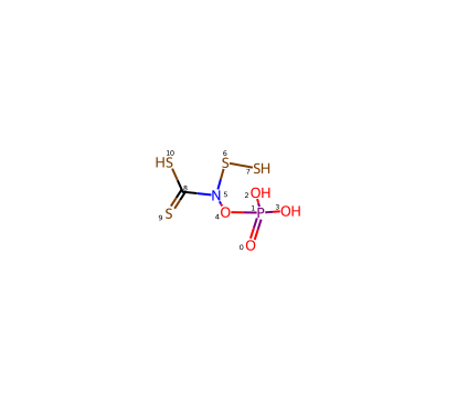 O=P(O)(O)ON(SS)C(=S)S